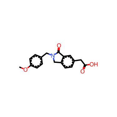 COc1ccc(CN2Cc3ccc(CC(=O)O)cc3C2=O)cc1